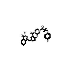 CC(C)(Sc1ccc(F)cc1)C(=O)N1CCN(C(=O)c2cc(Cc3n[nH]c(=O)c4ccccc34)ccc2F)CC1